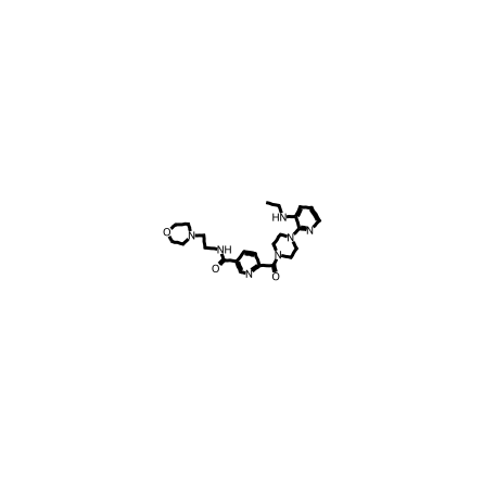 CCNc1cccnc1N1CCN(C(=O)c2ccc(C(=O)NCCN3CCOCC3)cn2)CC1